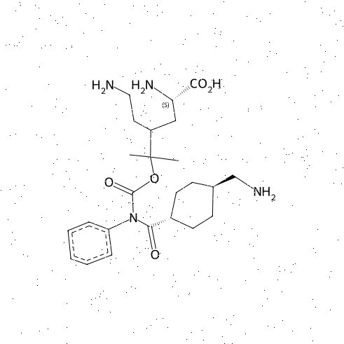 CC(C)(OC(=O)N(c1ccccc1)C(=O)[C@H]1CC[C@H](CN)CC1)C(CCN)C[C@H](N)C(=O)O